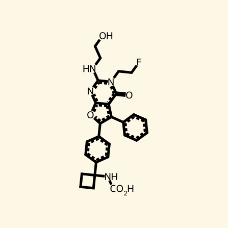 O=C(O)NC1(c2ccc(-c3oc4nc(NCCO)n(CCF)c(=O)c4c3-c3ccccc3)cc2)CCC1